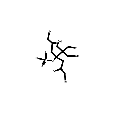 O=P(O)(O)OC(CC(Br)CBr)(CC(Br)CBr)C(CO)(CO)CCl